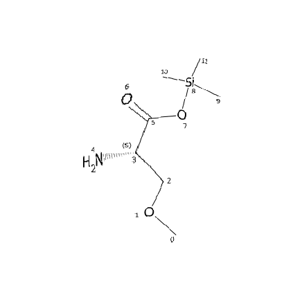 COC[C@H](N)C(=O)O[Si](C)(C)C